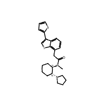 CN(C(=O)Cc1cccc2c(-c3cccs3)csc12)[C@@H]1CCCC[C@H]1N1CCCC1